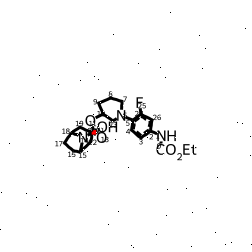 CCOC(=O)Nc1ccc(N2CCCC(OC(=O)N3C4CCC3CC(O)C4)C2)c(F)c1